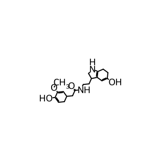 COC1=CC(CC(=O)NCCC2CNC3=C2C=C(O)CC3)CC=C1O